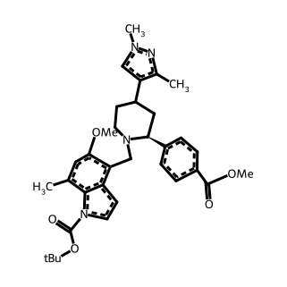 COC(=O)c1ccc([C@@H]2CC(c3cn(C)nc3C)CCN2Cc2c(OC)cc(C)c3c2ccn3C(=O)OC(C)(C)C)cc1